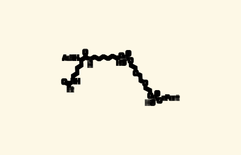 CCCCCOP(=O)(O)OCCOCCOCCOP(=O)(O)OCCCCCCNC(=O)[C@H](CCCCNC(=O)CC)NC(C)=O